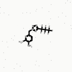 Cc1nc(Cn2nnc(C(F)(F)C(F)(F)C(F)(F)F)n2)ccc1N